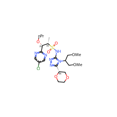 CCCO[C@@H](c1ncc(Cl)cn1)[C@H](C)S(=O)(=O)Nc1nnc([C@@H]2COCCO2)n1C(COC)COC